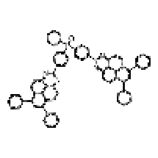 O=P(c1ccccc1)(c1ccc(-c2nc3ccc4c(-c5ccccc5)cc(-c5ccccc5)c5ccc(n2)c3c45)cc1)c1ccc(-c2nc3ccc4c(-c5ccccc5)cc(-c5ccccc5)c5ccc(n2)c3c45)cc1